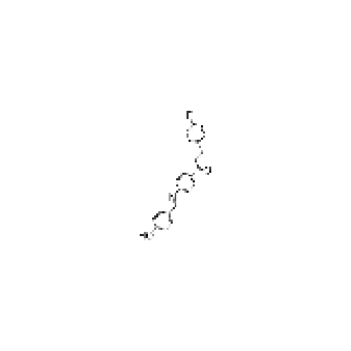 O=C(/C=C/c1ccc(F)cc1)c1ccc(/N=C/c2ccc(O)cc2)cc1